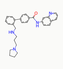 O=C(Nc1ccc2cccnc2c1)c1ccc(-c2ccccc2CNCCCN2CCCC2)cc1